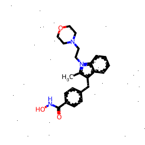 Cc1c(Cc2ccc(C(=O)NO)cc2)c2ccccc2n1CCN1CCOCC1